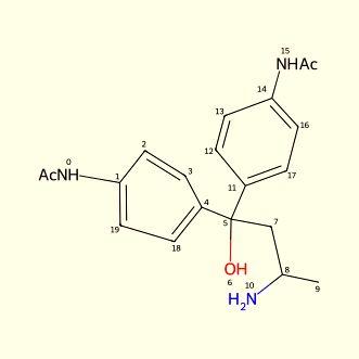 CC(=O)Nc1ccc(C(O)(CC(C)N)c2ccc(NC(C)=O)cc2)cc1